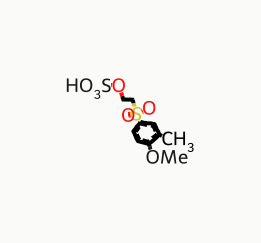 COc1ccc(S(=O)(=O)CCOS(=O)(=O)O)cc1C